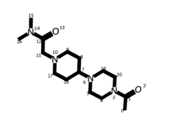 CC(=O)N1CCN(C2CCN(CC(=O)N(C)C)CC2)CC1